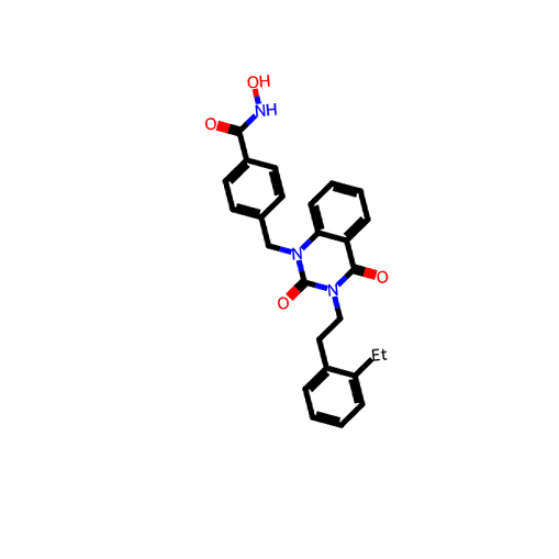 CCc1ccccc1CCn1c(=O)c2ccccc2n(Cc2ccc(C(=O)NO)cc2)c1=O